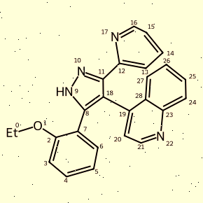 CCOc1ccccc1-c1[nH]nc(-c2ccccn2)c1-c1ccnc2ccccc12